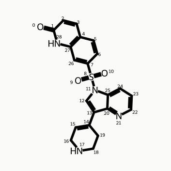 O=c1ccc2ccc(S(=O)(=O)n3cc(C4=CCNCC4)c4ncccc43)cc2[nH]1